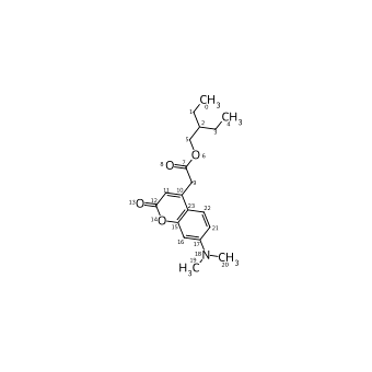 CCC(CC)COC(=O)Cc1cc(=O)oc2cc(N(C)C)ccc12